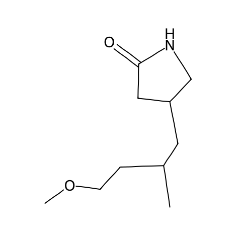 COCCC(C)CC1CNC(=O)C1